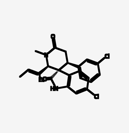 C/C=C(\CC)[C@H]1N(C)C(=O)C[C@@H](c2cccc(Cl)c2)[C@]12C(=O)Nc1cc(Cl)ccc12